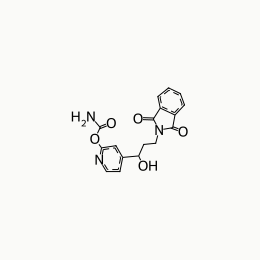 NC(=O)Oc1cc(C(O)CCN2C(=O)c3ccccc3C2=O)ccn1